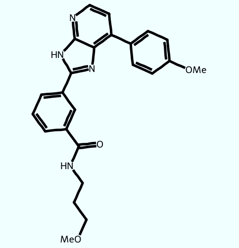 COCCCNC(=O)c1cccc(-c2nc3c(-c4ccc(OC)cc4)ccnc3[nH]2)c1